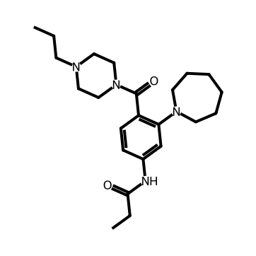 CCCN1CCN(C(=O)c2ccc(NC(=O)CC)cc2N2CCCCCC2)CC1